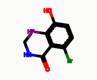 O=C1NCPc2c(O)ccc(Br)c21